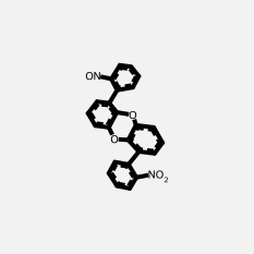 O=Nc1ccccc1-c1cccc2c1Oc1cccc(-c3ccccc3[N+](=O)[O-])c1O2